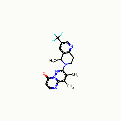 Cc1c(N2CCc3ncc(C(F)(F)F)cc3C2C)nn2c(=O)ccnc2c1C